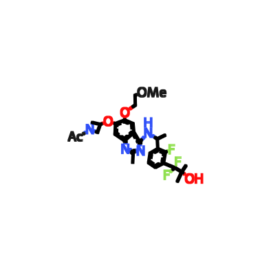 COCCOc1cc2c(NC(C)c3cccc(C(F)(F)C(C)(C)O)c3F)nc(C)nc2cc1OC1CN(C(C)=O)C1